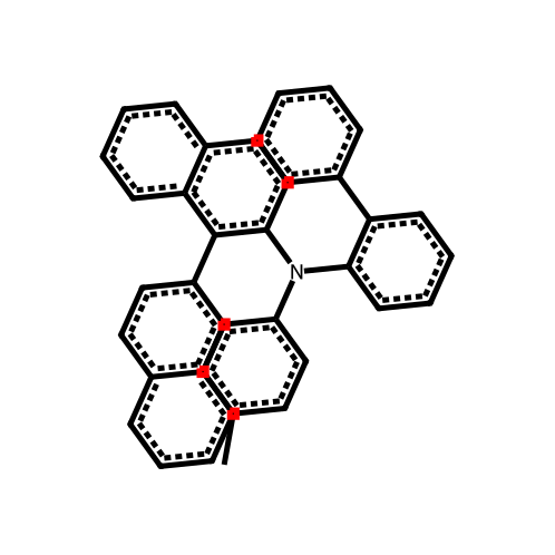 Cc1ccc(N(c2ccccc2-c2ccccc2)c2ccc3ccccc3c2-c2ccc3ccccc3c2)cc1